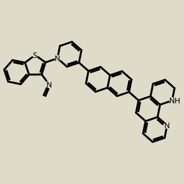 C=Nc1c(N2C=C(c3ccc4cc(-c5cc6cccnc6c6c5C=CCN6)ccc4c3)C=CC2)sc2ccccc12